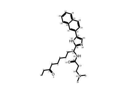 CCC(=O)CCCCC[C@H](NC(=O)CCN(C)C)c1ncc(-c2ccc3ccccc3c2)[nH]1